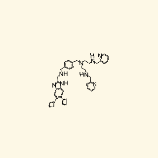 Clc1cc2nc(CNCc3ccc(CN(CCNCc4ccccn4)CCNCc4ccccn4)cc3)[nH]c2cc1Cl